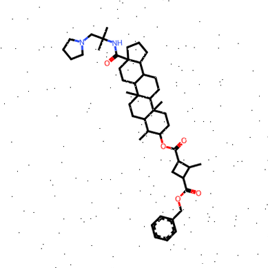 CC1C(C(=O)OCc2ccccc2)CC1C(=O)OC1CCC2(C)C(CCC3(C)C4CCC5(C(=O)NC(C)(C)CN6CCCC6)CCCC5C4CCC23)C1C